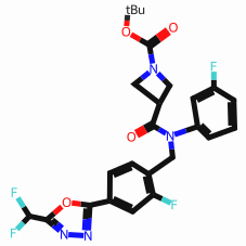 CC(C)(C)OC(=O)N1CC(C(=O)N(Cc2ccc(-c3nnc(C(F)F)o3)cc2F)c2cccc(F)c2)C1